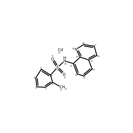 Cc1ccccc1S(=O)(=O)Nc1cccc2cccnc12.[Cd]